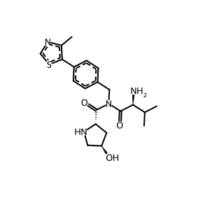 Cc1ncsc1-c1ccc(CN(C(=O)[C@@H]2C[C@@H](O)CN2)C(=O)[C@@H](N)C(C)C)cc1